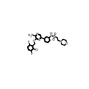 Nc1ncc(-c2cccc(NS(=O)(=O)CCN3CCOCC3)c2)nc1OCc1c(F)ccc(F)c1Cl